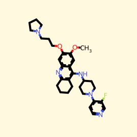 COc1cc2c(NC3CCN(c4ccncc4F)CC3)c3c(nc2cc1OCCCN1CCCC1)CCCC3